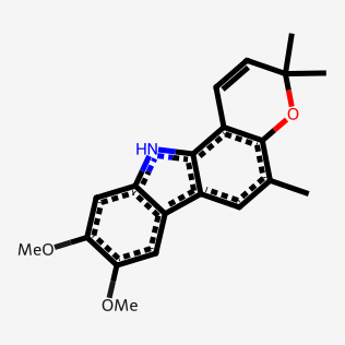 COc1cc2[nH]c3c4c(c(C)cc3c2cc1OC)OC(C)(C)C=C4